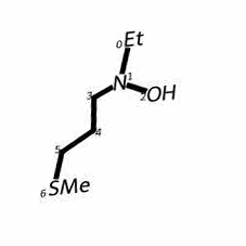 CCN(O)CCCSC